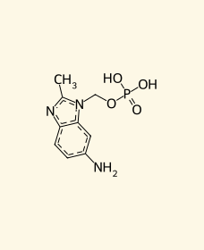 Cc1nc2ccc(N)cc2n1COP(=O)(O)O